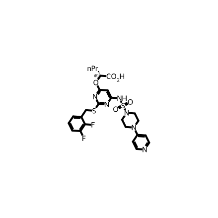 CCC[C@@H](Oc1cc(NS(=O)(=O)N2CCN(c3ccncc3)CC2)nc(SCc2cccc(F)c2F)n1)C(=O)O